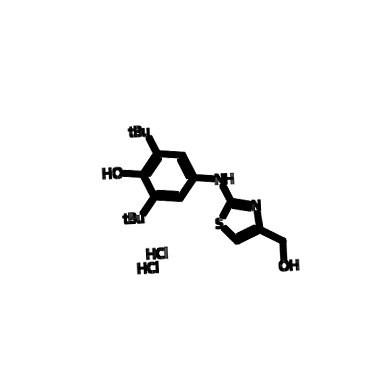 CC(C)(C)c1cc(Nc2nc(CO)cs2)cc(C(C)(C)C)c1O.Cl.Cl